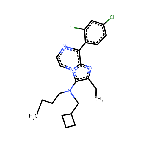 CCCCN(CC1CCC1)c1c(CC)nc2c(-c3ccc(Cl)cc3Cl)nccn12